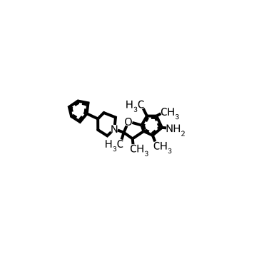 Cc1c(C)c2c(c(C)c1N)C(C)C(C)(N1CCC(c3ccccc3)CC1)O2